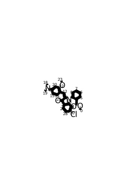 COC(=O)c1ccccc1N1C(=Cc2ccc(N(C)C)cc2OC)C(=O)c2ccc(Cl)cc21